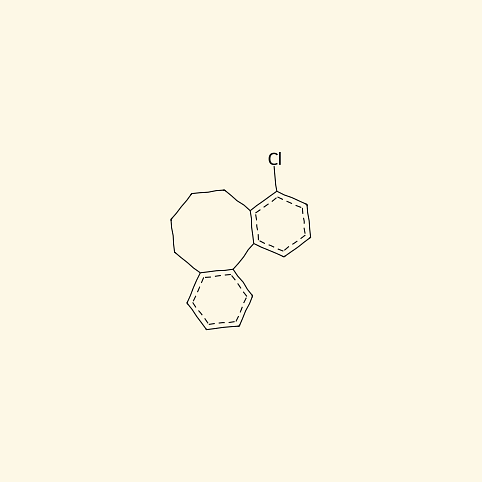 Clc1cccc2c1CCCCc1ccccc1-2